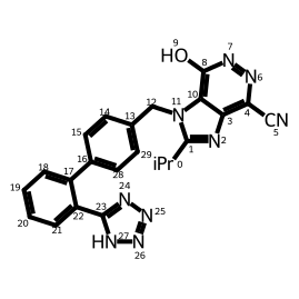 CC(C)c1nc2c(C#N)nnc(O)c2n1Cc1ccc(-c2ccccc2-c2nnn[nH]2)cc1